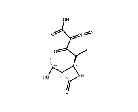 CC(C(=O)C(=[N+]=[N-])C(=O)O)[C@H]1NC(=O)[C@@H]1[C@@H](C)O